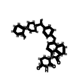 CC(c1ccc(Cc2ccc3c4c(cccc24)C(=O)N3C2CCC(=O)NC2=O)cc1)N1CCN(c2ccccc2F)CC1